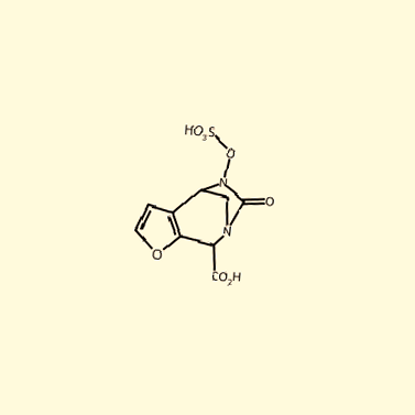 O=C(O)C1c2occc2C2CN1C(=O)N2OS(=O)(=O)O